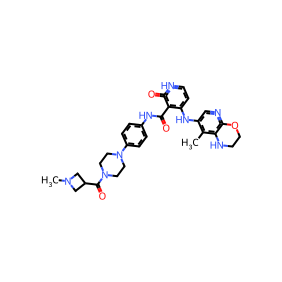 Cc1c(Nc2cc[nH]c(=O)c2C(=O)Nc2ccc(N3CCN(C(=O)C4CN(C)C4)CC3)cc2)cnc2c1NCCO2